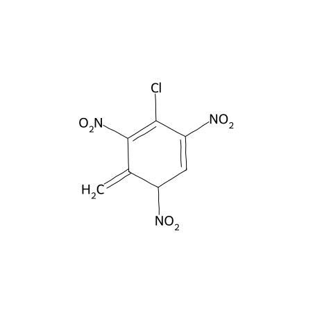 C=C1C([N+](=O)[O-])=C(Cl)C([N+](=O)[O-])=CC1[N+](=O)[O-]